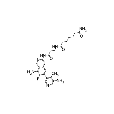 Cc1c(N)cncc1-c1cc2cc(NC(=O)CCNC(=O)CCCCCC(N)=O)ncc2c(N)c1F